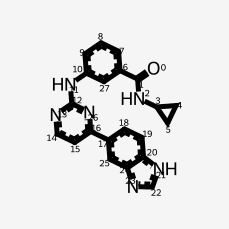 O=C(NC1CC1)c1cccc(Nc2nccc(-c3ccc4[nH]cnc4c3)n2)c1